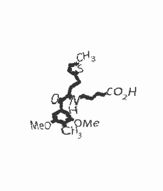 COc1cc(C(=O)C(CCc2ccc(C)s2)NCCCCC(=O)O)cc(OC)c1C